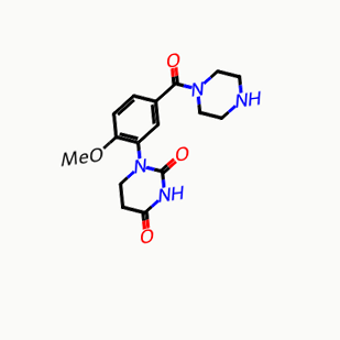 COc1ccc(C(=O)N2CCNCC2)cc1N1CCC(=O)NC1=O